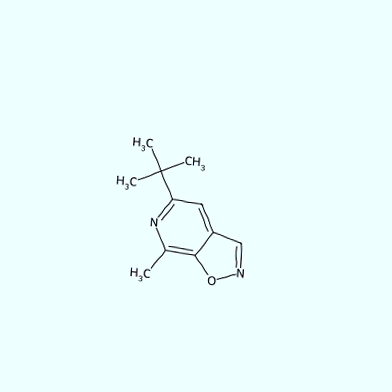 Cc1nc(C(C)(C)C)cc2cnoc12